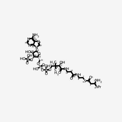 CCCC(N)CC(=O)SCCNC(=O)CCNC(=O)[C@H](O)C(C)(C)COP(=O)(O)OP(=O)(O)OC[C@H]1O[C@@H](n2cnc3c(N)ncnc32)[C@H](O)[C@@H]1OP(=O)(O)O